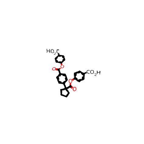 O=C(O)c1ccc(OC(=O)c2ccc(C3(C(=O)Oc4ccc(C(=O)O)cc4)CCCC3)cc2)cc1